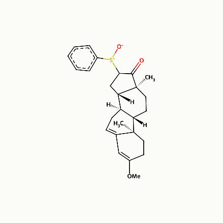 COC1=CC2=CC[C@@H]3[C@H](CC[C@]4(C)C(=O)C([S+]([O-])c5ccccc5)C[C@@H]34)[C@@]2(C)CC1